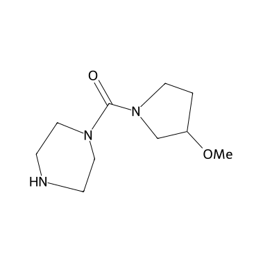 COC1CCN(C(=O)N2CCNCC2)C1